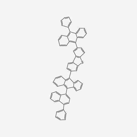 c1ccc(-c2ccc(-c3c4ccccc4c(-c4ccc5c(c4)sc4ccc(-c6c7ccccc7c(-c7ccccc7)c7ccccc67)cc45)c4ccccc34)c3ccccc23)cc1